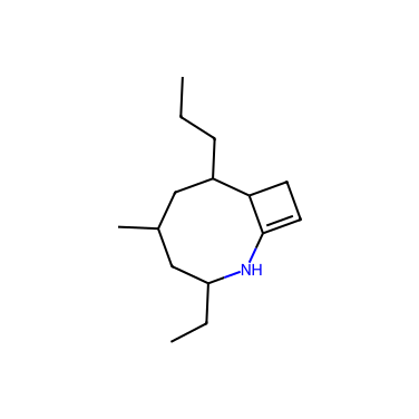 CCCC1CC(C)CC(CC)NC2=CCC21